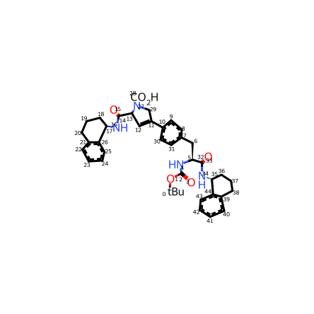 CC(C)(C)OC(=O)N[C@@H](Cc1ccc(C2=CC(C(=O)N[C@@H]3CCCc4ccccc43)N(C(=O)O)C2)cc1)C(=O)N[C@@H]1CCCc2ccccc21